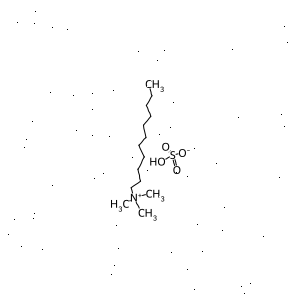 CCCCCCCCCCC[N+](C)(C)C.O=S(=O)([O-])O